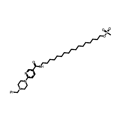 CC(C)CN1CCN(c2ccc(C(=O)NCCCCCCCCCCCCCCCCCOS(C)(=O)=O)cn2)CC1